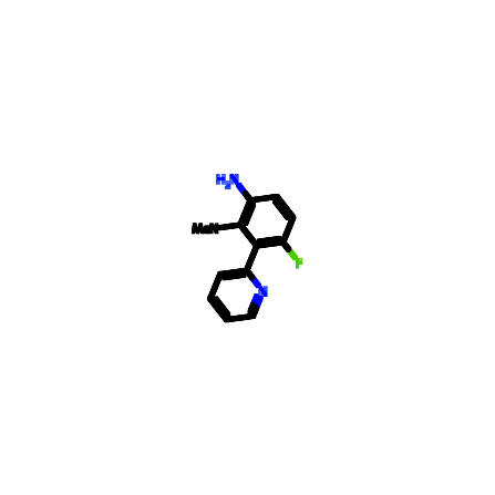 CNc1c(N)ccc(F)c1-c1ccccn1